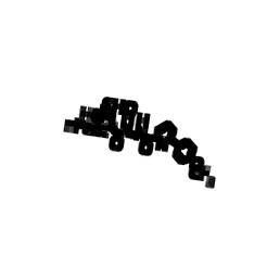 CCCCC[C@H](CN(O)C=O)C(=O)NCNC(=O)c1cccc(-c2ccc(OC(F)(F)F)cc2)n1